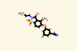 C=CCN1C(=O)c2c(ccc(Oc3cc(F)cc(C#N)c3)c2C)S1(=O)=O